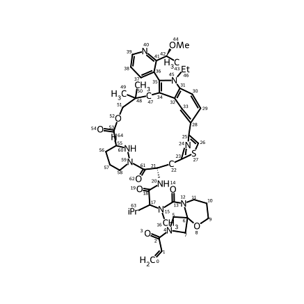 C=CC(=O)N1CC2(C1)OCCCN2C(=O)N(C)C(C(=O)N[C@H]1Cc2nc(cs2)-c2ccc3c(c2)c(c(-c2cccnc2[C@H](C)OC)n3CC)CC(C)(C)COC(=O)[C@@H]2CCCN(N2)C1=O)C(C)C